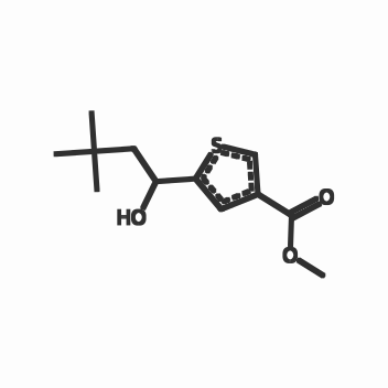 COC(=O)c1csc(C(O)CC(C)(C)C)c1